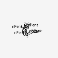 CCCCCOP(=S)(S)OCCCCC.CCCCCOP(=S)(S)OCCCCC.[S-2].[S-2].[Zn+2].[Zn+2].[Zn+2]